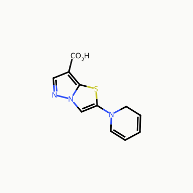 O=C(O)c1cnn2cc(N3C=CC=CC3)sc12